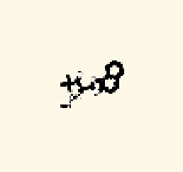 CC(C)(C)C(=O)/C(=N\OSI)c1nc2c(ccc3ccccc32)o1